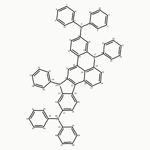 c1ccc(N(c2ccccc2)c2ccc3c(c2)P(c2ccccc2)c2cccc4c2c-3cc2c4c3ccc(N(c4ccccc4)c4ccccc4)cc3p2-c2ccccc2)cc1